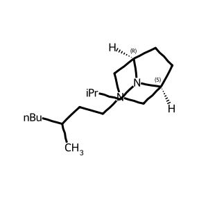 CCCCC(C)CCN1C[C@H]2CC[C@@H](C1)N2CC(C)C